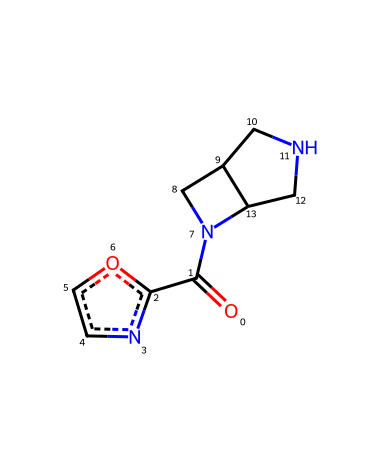 O=C(c1ncco1)N1CC2CNCC21